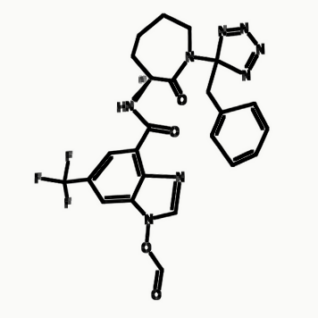 O=COn1cnc2c(C(=O)N[C@H]3CCCCN(C4(Cc5ccccc5)N=NN=N4)C3=O)cc(C(F)(F)F)cc21